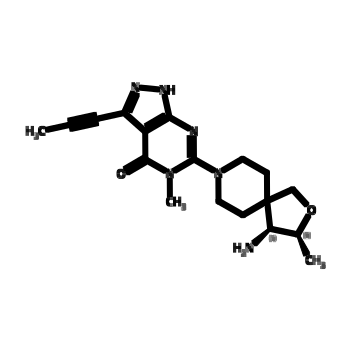 CC#Cc1n[nH]c2nc(N3CCC4(CC3)CO[C@@H](C)[C@H]4N)n(C)c(=O)c12